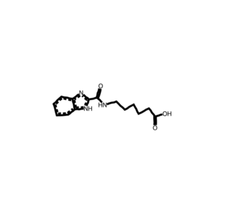 O=C(O)CCCCCNC(=O)c1nc2ccccc2[nH]1